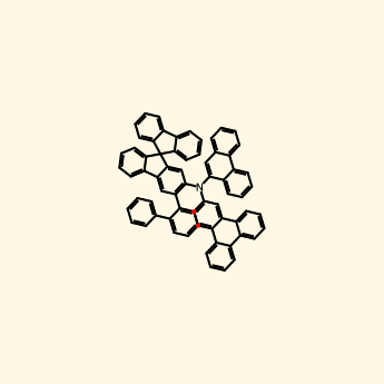 c1ccc(-c2ccccc2-c2cc3c(cc2N(c2ccc4c5ccccc5c5ccccc5c4c2)c2cc4ccccc4c4ccccc24)C2(c4ccccc4-c4ccccc42)c2ccccc2-3)cc1